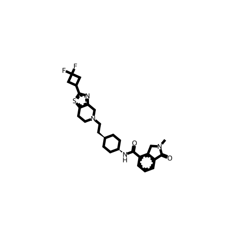 CN1Cc2c(C(=O)N[C@H]3CC[C@H](CCN4CCc5sc(C6CC(F)(F)C6)nc5C4)CC3)cccc2C1=O